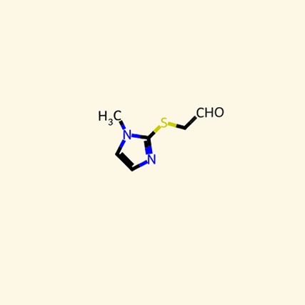 Cn1ccnc1SCC=O